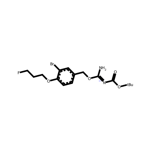 CC(C)(C)OC(=O)/N=C(\N)OCc1ccc(OCCCF)c(Br)c1